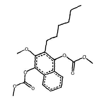 CCCCCCc1c(OC)c(OC(=O)OC)c2ccccc2c1OC(=O)OC